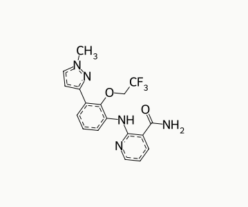 Cn1ccc(-c2cccc(Nc3ncccc3C(N)=O)c2OCC(F)(F)F)n1